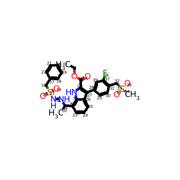 CCOC(=O)c1[nH]c2c(C(C)NNS(=O)(=O)Cc3ccccc3)cccc2c1-c1ccc(CS(C)(=O)=O)c(F)c1